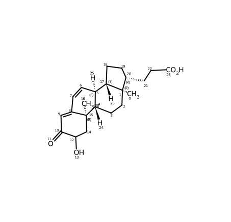 C[C@]12CC[C@H]3[C@@H](C=CC4=CC(=O)C(O)C[C@@]43C)[C@@H]1CC[C@@H]2CCC(=O)O